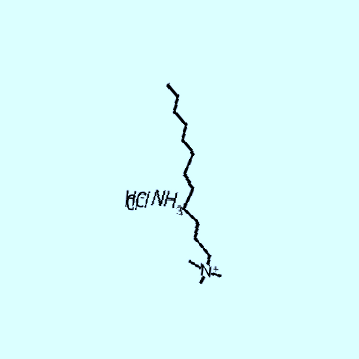 CCCCCCCCCCCC[N+](C)(C)C.Cl.N.[Cl-]